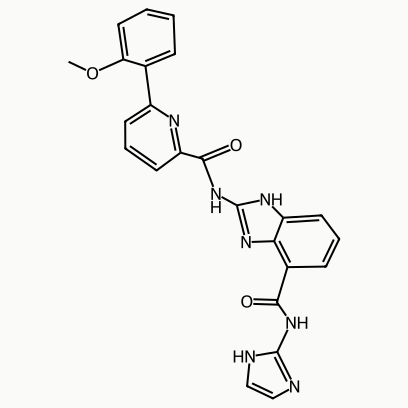 COc1ccccc1-c1cccc(C(=O)Nc2nc3c(C(=O)Nc4ncc[nH]4)cccc3[nH]2)n1